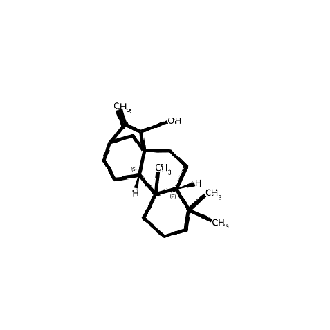 C=C1C2CC[C@@H]3C(CC[C@@H]4C(C)(C)CCCC43C)(C2)C1O